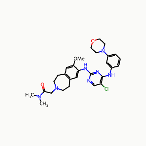 COc1cc2c(cc1Nc1ncc(Cl)c(Nc3cccc(N4CCOCC4)c3)n1)CCN(CC(=O)N(C)C)CC2